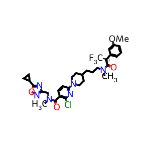 COc1cccc([C@@H](C(=O)N(C)CCCC2CCN(c3ccc(C(=O)N(C)Cc4noc(C5CC5)n4)c(Cl)n3)CC2)C(F)(F)F)c1